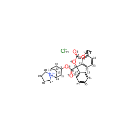 CC(C)OC(=O)OC(C(=O)OC1CC2CCC(C1)[N+]21CCCC1)(c1ccccc1)c1ccccc1.[Cl-]